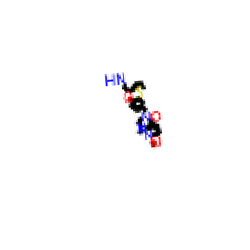 CNCCC(Oc1ccc(CN2CCN(C)c3nc(OC)ccc3C2=O)cc1)c1cccs1